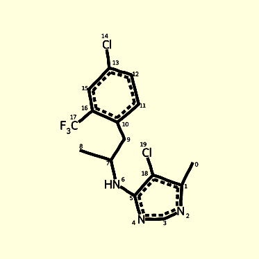 Cc1ncnc(NC(C)Cc2ccc(Cl)cc2C(F)(F)F)c1Cl